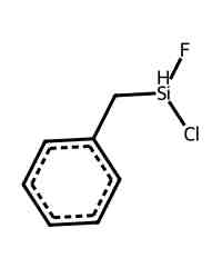 F[SiH](Cl)Cc1ccccc1